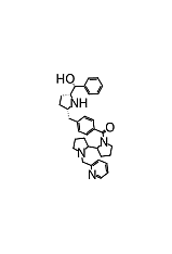 O=C(c1ccc(C[C@@H]2CC[C@H]([C@H](O)c3ccccc3)N2)cc1)N1CCCC1C1CCCN1Cc1ccccn1